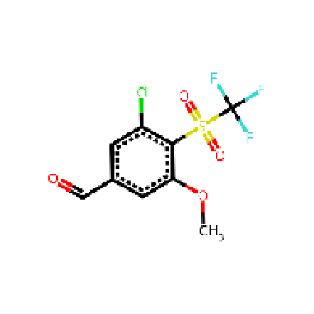 COc1cc(C=O)cc(Cl)c1S(=O)(=O)C(F)(F)F